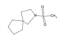 CS(=O)(=O)N1CCC2(CCCC2)C1